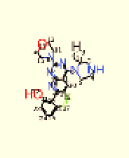 CC1CNCCN1c1nc(N2CCOCC2)nc2nc(-c3c(O)cccc3F)c(F)cc12